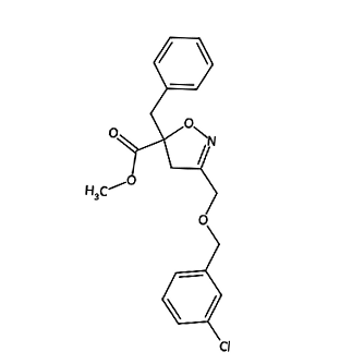 COC(=O)C1(Cc2ccccc2)CC(COCc2cccc(Cl)c2)=NO1